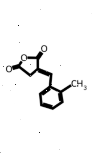 Cc1ccccc1/C=C1\CC(=O)OC1=O